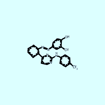 N#Cc1cc(N=Nc2ccccc2-c2ccnc(Nc3ccc(C(F)(F)F)cc3)n2)ccc1O